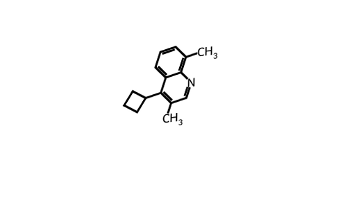 Cc1cnc2c(C)cccc2c1C1CCC1